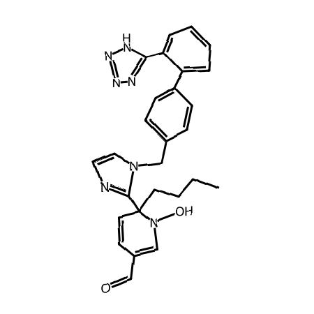 CCCCC1(c2nccn2Cc2ccc(-c3ccccc3-c3nnn[nH]3)cc2)C=CC(C=O)=CN1O